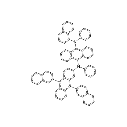 c1ccc(N(c2ccc3c(-c4ccc5ccccc5c4)c4ccccc4c(-c4ccc5ccccc5c4)c3c2)c2c3ccccc3c(N(c3ccccc3)c3cccc4ccccc34)c3ccccc23)cc1